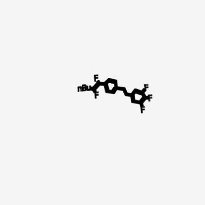 CCCC/C(F)=C(\F)c1ccc(CCc2cc(F)c(F)c(F)c2)cc1